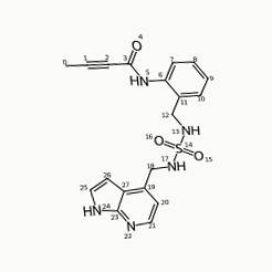 CC#CC(=O)Nc1ccccc1CNS(=O)(=O)NCc1ccnc2[nH]ccc12